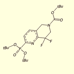 CC(C)(C)OC(=O)N1Cc2ccc(P(=O)(OC(C)(C)C)OC(C)(C)C)nc2C(F)(F)C1